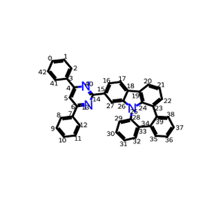 c1ccc(-c2cc(-c3ccccc3)nc(-c3ccc4c5cccc6c5n(c4c3)-c3ccccc3-c3ccccc3-6)n2)cc1